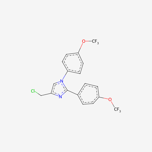 FC(F)(F)Oc1ccc(-c2nc(CCl)cn2-c2ccc(OC(F)(F)F)cc2)cc1